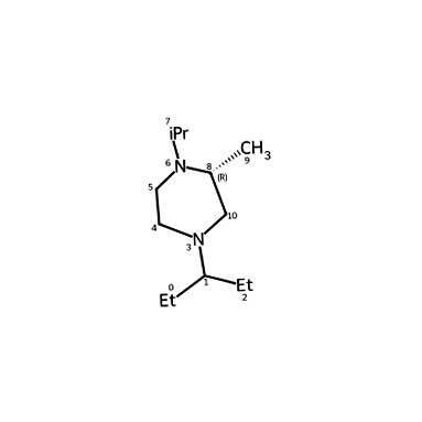 CCC(CC)N1CCN(C(C)C)[C@H](C)C1